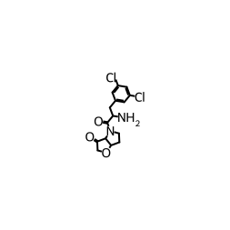 NC(Cc1cc(Cl)cc(Cl)c1)C(=O)N1CCC2OCC(=O)C21